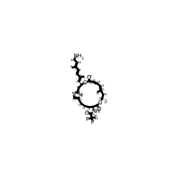 CC(/C=C/C(C)=C/[C@@H]1Cc2nc(cs2)CCC[C@H](NC(=O)C(F)(F)F)C(=O)O[C@@H](C)C/C(C)=C/C=C\C(=O)O1)=C\CN